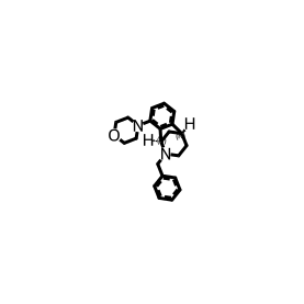 c1ccc(CN2CC[C@@H]3C[C@@H]2c2c3cccc2N2CCOCC2)cc1